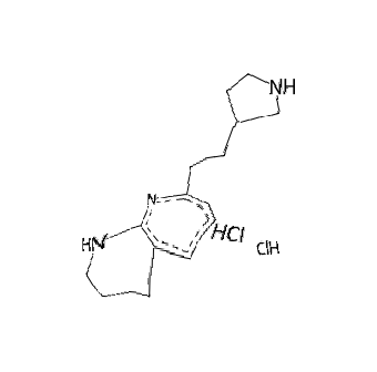 Cl.Cl.c1cc2c(nc1CCC1CCNC1)NCCC2